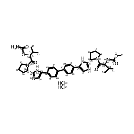 COC(=O)N[C@H](C(=O)N1CCC[C@H]1c1ncc(-c2ccc(-c3ccc(-c4cnc([C@@H]5CCCN5C(=O)[C@@H](OC(N)=O)C(C)C)[nH]4)cc3)cc2)[nH]1)C(C)C.Cl.Cl